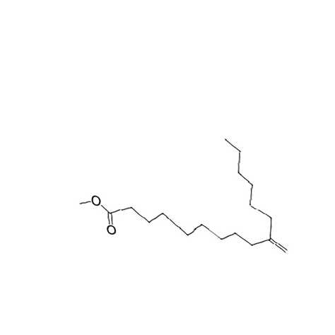 C=C(CCCCCC)CCCCCCCCC(=O)OC